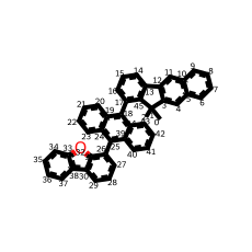 CC1(C)c2cc3ccccc3cc2-c2cccc(-c3c4ccccc4c(-c4cccc5c4oc4ccccc45)c4ccccc34)c21